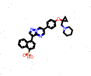 O=[SH](=O)c1ccc(-c2cnn3cc(-c4ccc(OC5(CN6CCCCC6)CC5)cc4)cnc23)c2ccccc12